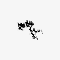 CC(C)(F)C(F)(C(F)(F)F)C(F)(F)OC(C)(C)C(F)(NCCN(CCN)CCN)C(F)(F)F